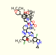 [2H]C([2H])([2H])C(O)([C@H]1C[C@]1(c1n[nH]c(=O)o1)n1c(C(=O)N2CCc3nn(-c4cc(C)c(F)c(C)c4)c(N4C=CN(c5ccc6c(cnn6C6CC6)c5F)C4=C=O)c3[C@@H]2C)cc2cc([C@H]3CCOC(C)(C)C3)ccc21)C([2H])([2H])[2H]